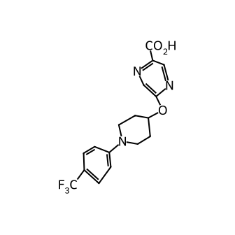 O=C(O)c1cnc(OC2CCN(c3ccc(C(F)(F)F)cc3)CC2)cn1